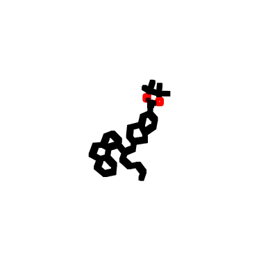 C\C=C/C=C\C(=C\c1ccc2cc(B3OC(C)(C)C(C)(C)O3)ccc2c1)c1cccc2ccc3ccccc3c12